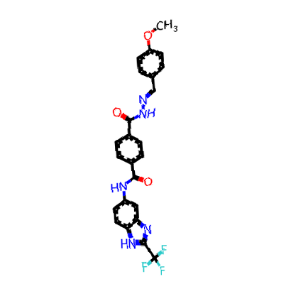 COc1ccc(C=NNC(=O)c2ccc(C(=O)Nc3ccc4[nH]c(C(F)(F)F)nc4c3)cc2)cc1